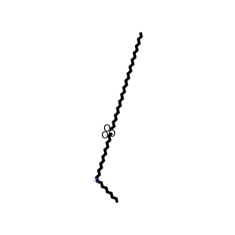 CCCCCCCC/C=C\CCCCCCCCCCCC(=O)OC(=O)CCCCCCCCCCCCCCCCCCCCCCCCCCCC